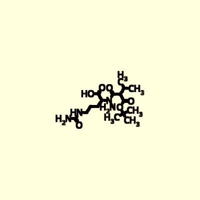 CC(C)C(C(=O)OC(C)(C)C)C(=O)N(N)C(CCCNC(N)=O)C(=O)O